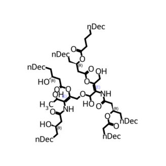 CCCCCCCCCCCCCC(=O)O[C@H](CCCCCCCCCCC)CC(=O)O/C(CO)=C(/NC(=O)C[C@@H](CCCCCCCCCCC)OC(=O)CCCCCCCCCCC)C(O)OC/C(OC(=O)C[C@H](O)CCCCCCCCCCC)=C(\NC(=O)C[C@H](O)CCCCCCCCCCC)C(C)O